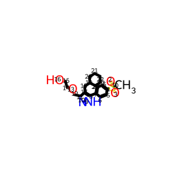 CS(=O)(=O)c1ccc(-c2[nH]nc(COCCO)c2CC2CCCCC2)cc1